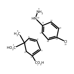 CC1(C(=O)O)C=CC=C(C(=O)O)C1.NNc1ccc(Cl)cc1